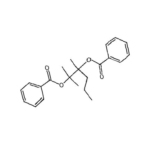 CCCC(C)(OC(=O)c1ccccc1)C(C)(C)OC(=O)c1ccccc1